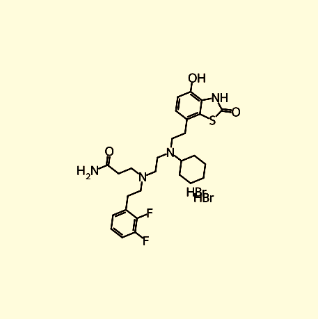 Br.Br.NC(=O)CCN(CCc1cccc(F)c1F)CCN(CCc1ccc(O)c2[nH]c(=O)sc12)C1CCCCC1